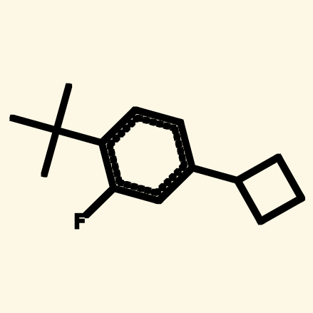 CC(C)(C)c1ccc(C2CCC2)cc1F